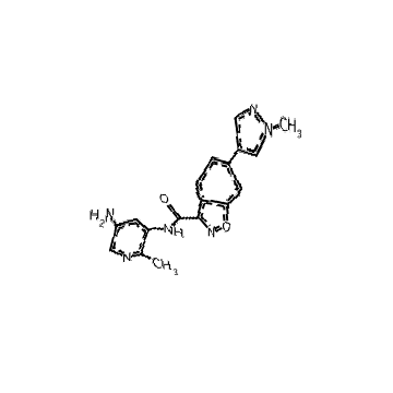 Cc1ncc(N)cc1NC(=O)c1noc2cc(-c3cnn(C)c3)ccc12